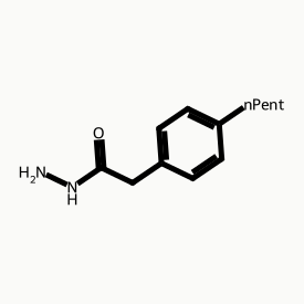 CCCCCc1ccc(CC(=O)NN)cc1